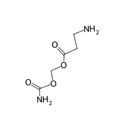 NCCC(=O)OCOC(N)=O